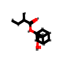 CCC(C)C(=O)OC12CC(O)=C3C(CC3C1)C2